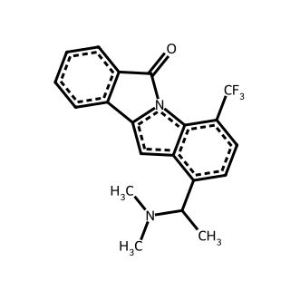 CC(c1ccc(C(F)(F)F)c2c1cc1n2C(=O)c2ccccc2-1)N(C)C